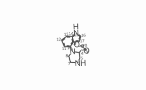 CS(=O)(=O)C1CNCCN1c1cccc2[nH]ccc12